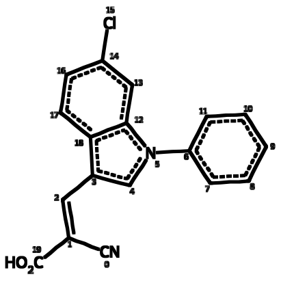 N#C/C(=C\c1cn(-c2ccccc2)c2cc(Cl)ccc12)C(=O)O